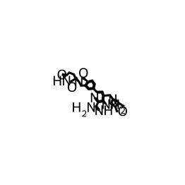 N=C(N)c1nc(-c2ccc3c(c2)CN(C2CCC(=O)NC2=O)C3=O)cc(CN2CC3COCC3C2)c1N